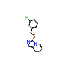 Fc1cccc(CSc2ncc3ccccn23)c1